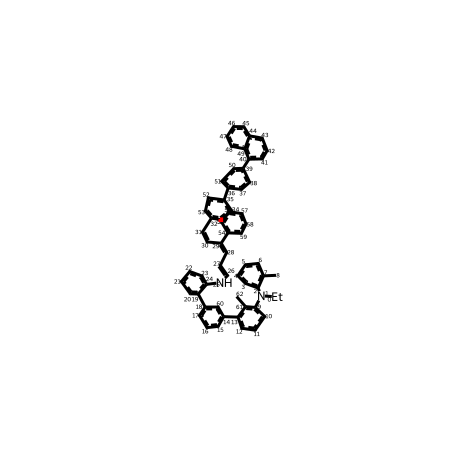 CCN(c1ccccc1C)c1cccc(-c2cccc(-c3ccccc3N/C=C/C=C(\C=C/c3ccc(-c4ccc(-c5cccc6ccccc56)cc4)cc3)c3ccccc3)c2)c1C